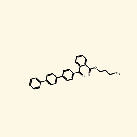 CCCCOC(=O)c1ccccc1C(=O)c1ccc(-c2ccc(-c3ccccc3)cc2)cc1